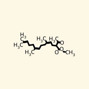 CCOC(=O)C(CC=C(C)CCC=C(C)CCC=C(C)C)C(C)=O